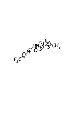 Cc1nc(C)c(-c2csc(NC(=O)CC3CN(c4ccc(C(F)(F)F)cc4)C3)n2)s1